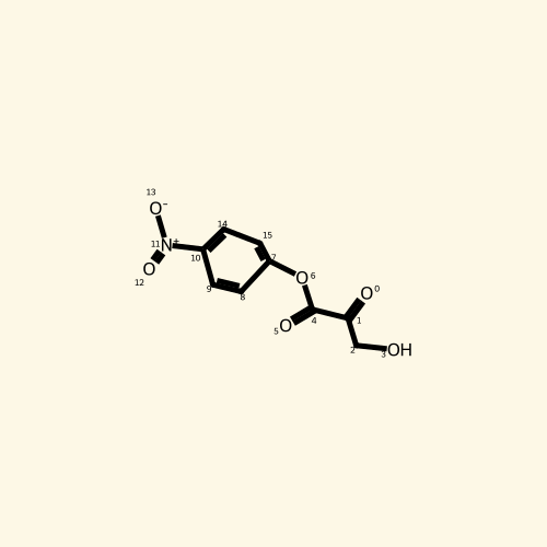 O=C(CO)C(=O)Oc1ccc([N+](=O)[O-])cc1